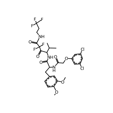 COc1ccc(CC(NC(=O)COc2cc(Cl)cc(Cl)c2)C(=O)NC(C(=O)C(F)(F)C(=O)NCCC(F)(F)F)C(C)C)cc1OC